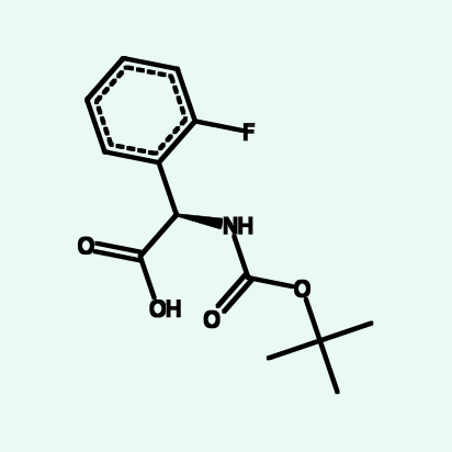 CC(C)(C)OC(=O)N[C@@H](C(=O)O)c1ccccc1F